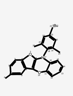 Cc1ccc2oc3c(c2c1)Oc1ccccc1N3c1c(C)cc(C(C)(C)C)cc1C